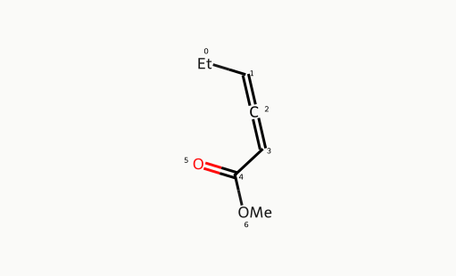 CCC=C=CC(=O)OC